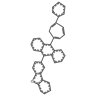 C1=CC(c2ccccc2)=CCC(c2c3ccccc3c(-c3ccc4oc5ccccc5c4c3)c3ccccc23)=C1